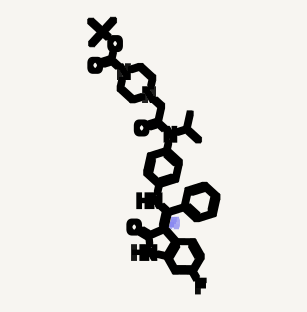 CC(C)N(C(=O)CN1CCN(C(=O)OC(C)(C)C)CC1)c1ccc(N/C(=C2\C(=O)Nc3cc(F)ccc32)c2ccccc2)cc1